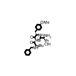 CC[C@H](C)[C@H](NCc1ccccc1)C(=O)NC(=O)[C@H](Cc1ccc(OC)cc1)NC(=O)[C@@H](N)C(C)C.Cl